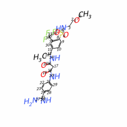 COCCNS(=O)(=O)c1ccc(C(C)NC(=O)CC(=O)Nc2ccc(C(=N)N)cc2)cc1C(F)(F)F